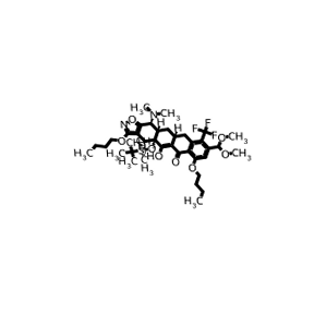 CCCCOc1cc(C(OC)OC)c(C(F)(F)F)c2c1C(=O)C1=C(O)[C@]3(O[Si](C)(C)C(C)(C)C)C(=O)c4c(OCCCC)noc4[C@@H](N(C)C)[C@@H]3C[C@@H]1C2